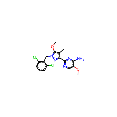 COc1cnc(-c2nn(Cc3c(Cl)cccc3Cl)c(OC)c2C)nc1N